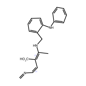 C=N/C=C\C(C(=O)O)=C(/C)NCc1ccccc1Nc1ccccc1